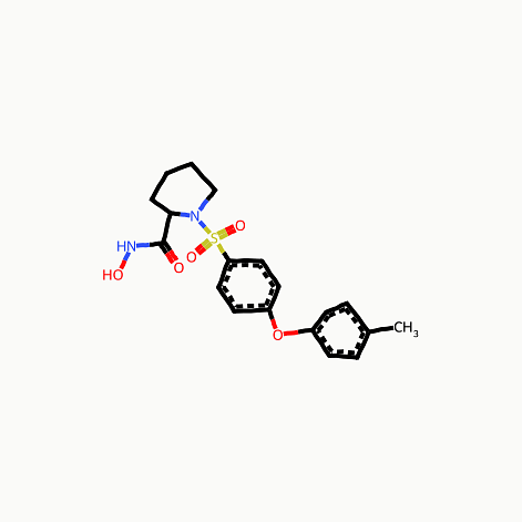 Cc1ccc(Oc2ccc(S(=O)(=O)N3CCCCC3C(=O)NO)cc2)cc1